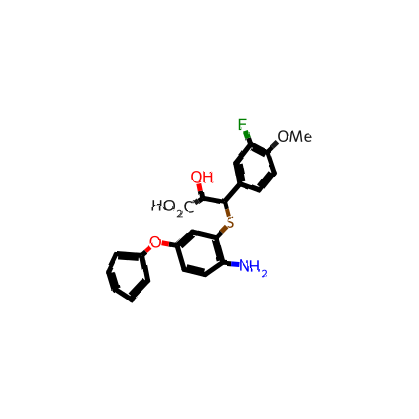 COc1ccc(C(Sc2cc(Oc3ccccc3)ccc2N)C(O)C(=O)O)cc1F